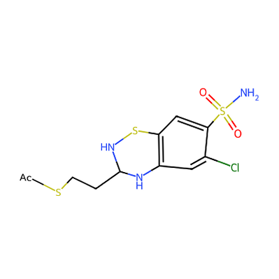 CC(=O)SCCC1NSc2cc(S(N)(=O)=O)c(Cl)cc2N1